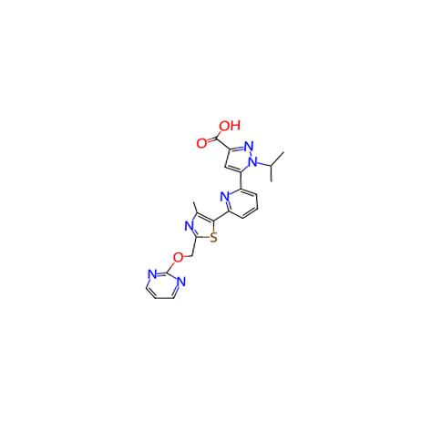 Cc1nc(COc2ncccn2)sc1-c1cccc(-c2cc(C(=O)O)nn2C(C)C)n1